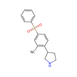 N#Cc1cc(S(=O)(=O)c2ccccc2)ccc1C1CCNC1